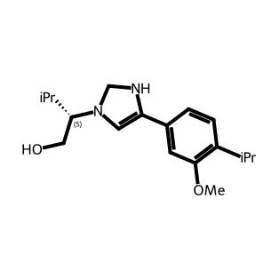 COc1cc(C2=CN([C@H](CO)C(C)C)CN2)ccc1C(C)C